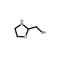 CC(C)CC1NCCO1